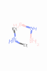 BNB.CCNCC